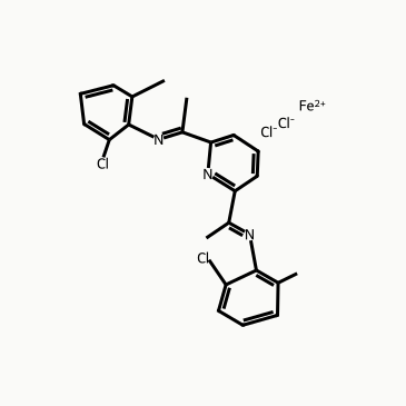 CC(=Nc1c(C)cccc1Cl)c1cccc(C(C)=Nc2c(C)cccc2Cl)n1.[Cl-].[Cl-].[Fe+2]